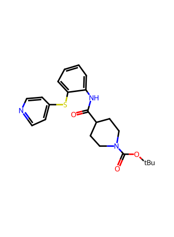 CC(C)(C)OC(=O)N1CCC(C(=O)Nc2ccccc2Sc2ccncc2)CC1